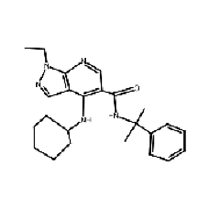 CCn1ncc2c(NC3CCCCC3)c(C(=O)NC(C)(C)c3ccccc3)cnc21